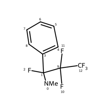 CNC(F)(c1ccccc1)C(F)(F)C(F)(F)F